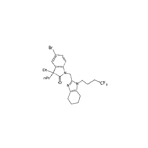 CCCC1(CC)C(=O)N(Cc2nc3c(n2CCCC(F)(F)F)CCCC3)c2ccc(Br)cc21